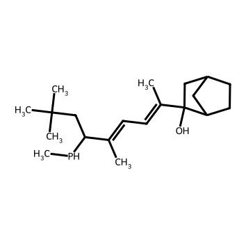 CPC(CC(C)(C)C)/C(C)=C/C=C(\C)C1(O)CC2CCC1C2